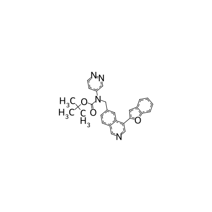 CC(C)(C)OC(=O)N(Cc1ccc2cncc(-c3cc4ccccc4o3)c2c1)c1ccnnc1